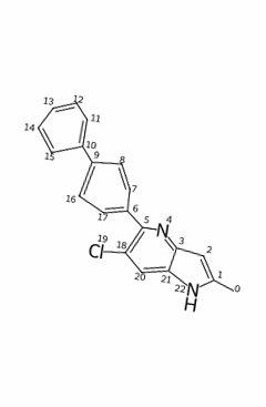 Cc1cc2nc(-c3ccc(-c4ccccc4)cc3)c(Cl)cc2[nH]1